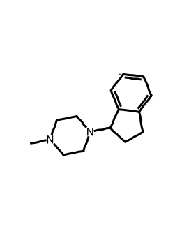 CN1CCN(C2CCc3cc[c]cc32)CC1